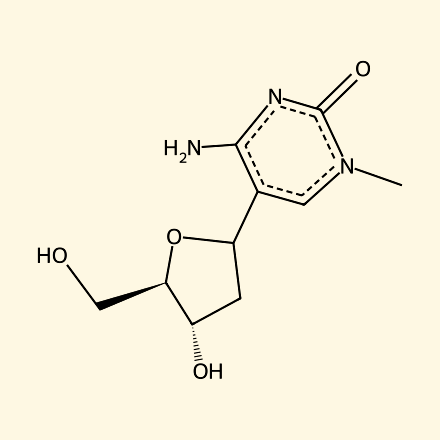 Cn1cc(C2C[C@H](O)[C@@H](CO)O2)c(N)nc1=O